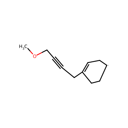 COCC#CCC1=CC[CH]CC1